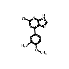 Bc1cc(-c2nc(Cl)nc3[nH]cnc23)ccc1OC